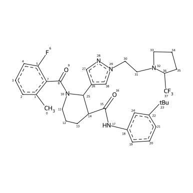 Cc1cccc(F)c1C(=O)N1CCCC(C(=O)Nc2cccc(C(C)(C)C)c2)C1c1cnn(CCN2CCCC2C(F)(F)F)c1